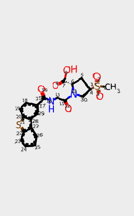 CS(=O)(=O)[C@@H]1C[C@@H](C(=O)O)N(C(=O)CNC(=O)c2ccc3sc4ccccc4c3c2)C1